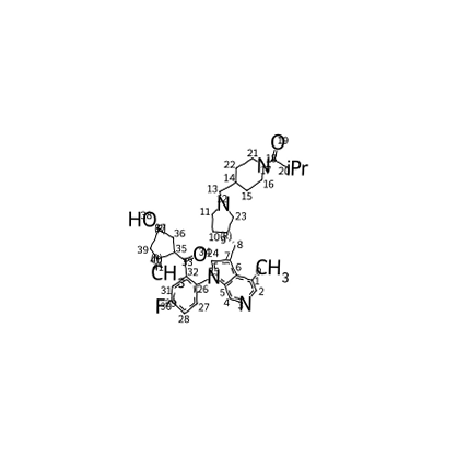 Cc1cncc2c1c(C[C@@H]1CCN(CC3CCN(C(=O)C(C)C)CC3)C1)cn2-c1ccc(F)cc1C(=O)C1C[C@H](O)C[C@H]1C